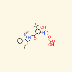 CCC[C@H]1CN(CC(=O)c2cc(N3CCC(OCC(=O)O)C3)c(O)c(C(C)(C)C)c2)/C(=N\Br)[C@@H]1c1ccccc1